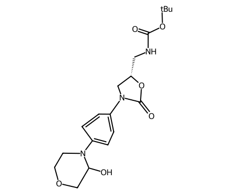 CC(C)(C)OC(=O)NC[C@H]1CN(c2ccc(N3CCOCC3O)cc2)C(=O)O1